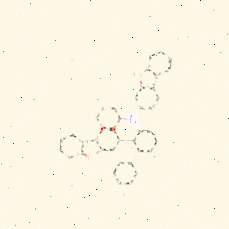 c1ccc(-c2cccc(N(c3ccccc3)c3ccc4c(c3)oc3ccccc34)c2-c2ccc3c(c2)oc2ccccc23)cc1